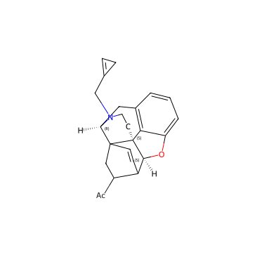 CC(=O)C1CC23C=CC1[C@@H]1Oc4cccc5c4[C@@]12CCN(CC1=CC1)[C@@H]3C5